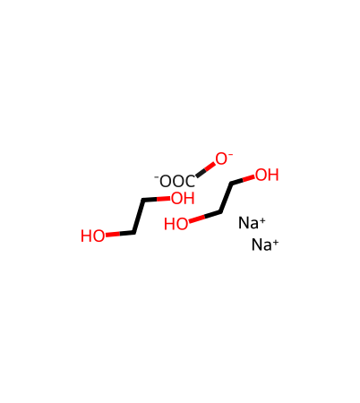 O=C([O-])[O-].OCCO.OCCO.[Na+].[Na+]